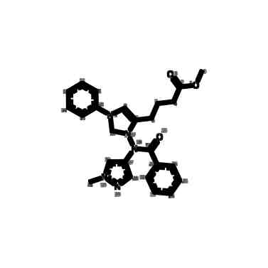 COC(=O)CCCC1=CN(c2ccccc2)CN1N(C(=O)c1ccccc1)c1cnn(C)c1